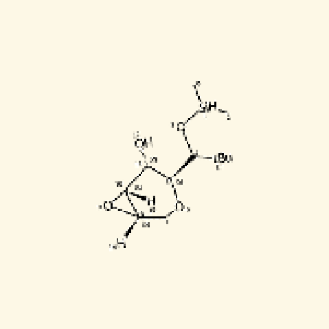 C[SiH](C)OC([C@H]1OC[C@@H]2O[C@@H]2[C@@H]1O)C(C)(C)C